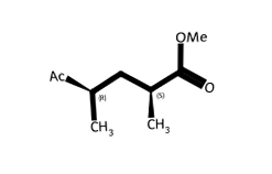 COC(=O)[C@@H](C)C[C@@H](C)C(C)=O